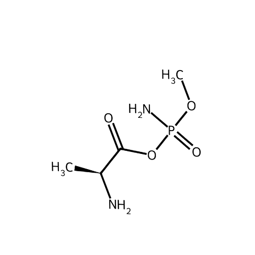 COP(N)(=O)OC(=O)[C@H](C)N